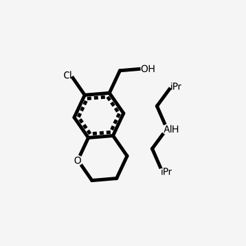 CC(C)[CH2][AlH][CH2]C(C)C.OCc1cc2c(cc1Cl)OCCC2